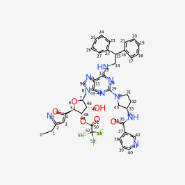 CCc1cc([C@H]2O[C@@H](n3cnc4c(NCC(c5ccccc5)c5ccccc5)nc(N5CC[C@@H](NC(=O)c6cccnc6)C5)nc43)[C@H](O)[C@@H]2OC(=O)C(F)(F)F)on1